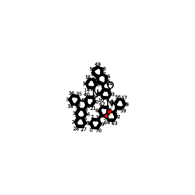 c1ccc(-c2ccc(N(c3cc(N(c4ccccc4)c4ccc(-c5cc6ccccc6cc5-c5ccccc5)cc4)c4c(c3)oc3cc5ccccc5cc34)c3ccccc3-c3ccccc3)cc2)cc1